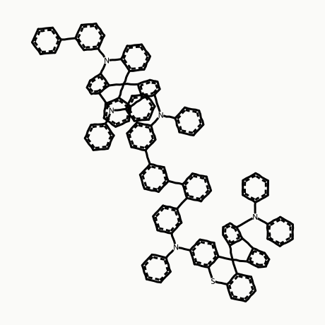 c1ccc(-c2cccc(N3c4ccccc4C4(c5ccccc5-c5c(N(c6ccccc6)c6cccc(-c7cccc(-c8ccccc8-c8cccc(N(c9ccccc9)c9ccc%10c(c9)Sc9ccccc9C%109c%10ccccc%10-c%10c(N(c%11ccccc%11)c%11ccccc%11)cccc%109)c8)c7)c6)cccc54)c4c(N(c5ccccc5)c5ccccc5)cccc43)c2)cc1